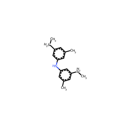 C[SiH2]c1cc(C)cc(Nc2cc(C)cc([SiH2]C)c2)c1